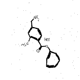 Cc1cc(CN)ccc1C(=O)Oc1ccccc1.Cl